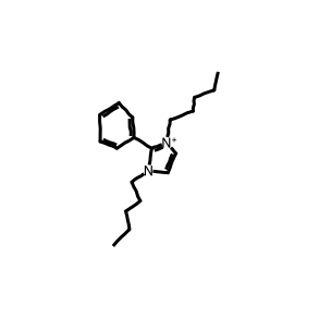 CCCCCn1cc[n+](CCCCC)c1-c1ccccc1